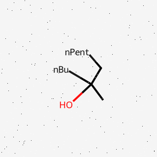 CCCCCCC(C)(O)CCCC